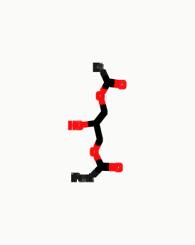 CCCC(C)C(=O)OCC(O)COC(=O)CC